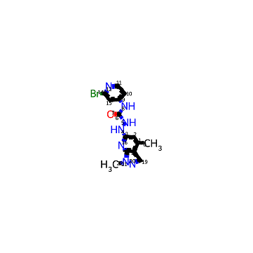 Cc1cc(NNC(=O)Nc2ccnc(Br)c2)nc2c1cnn2C